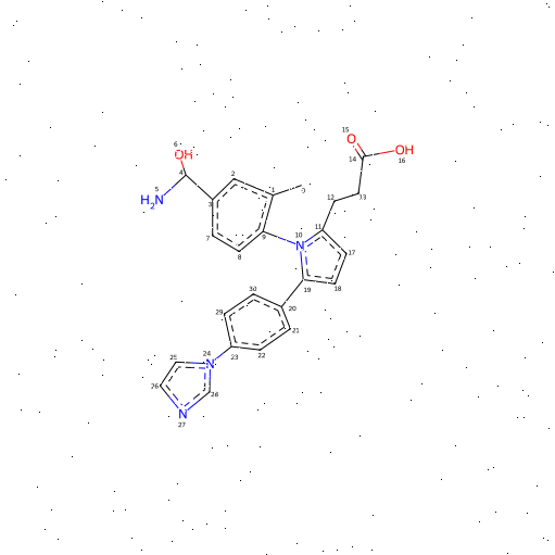 Cc1cc(C(N)O)ccc1-n1c(CCC(=O)O)ccc1-c1ccc(-n2ccnc2)cc1